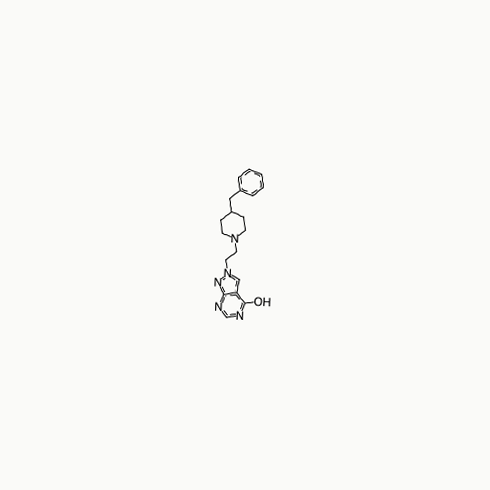 Oc1ncnc2nn(CCN3CCC(Cc4ccccc4)CC3)cc12